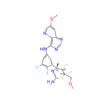 COC[C@@]1(C)SC(N)=N[C@](C)(c2cc(Nc3ncnc4cc(OC)cnc34)cc(F)c2F)[C@@H]1C